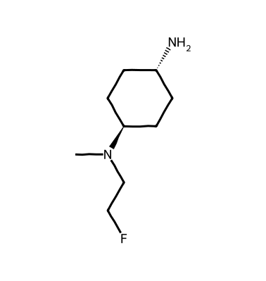 CN(CCF)[C@H]1CC[C@H](N)CC1